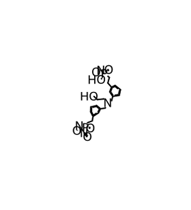 O=NP(=O)(O)CCc1cccc(CN(CCO)Cc2cccc(CCP(=O)(N=O)N=O)c2)c1